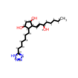 CCCCCC(O)C=CC1C(O)CC(O)C1CCCCCCc1nnn[nH]1